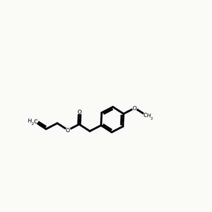 C=CCOC(=O)Cc1ccc(OC)cc1